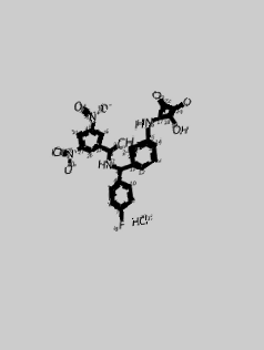 CC(NC(c1ccc(F)cc1)c1cccc(Nc2c(O)c(=O)c2=O)c1)c1cc([N+](=O)[O-])cc([N+](=O)[O-])c1.Cl